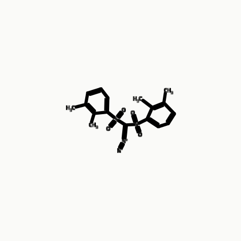 Cc1cccc(S(=O)(=O)C(=[N+]=[N-])S(=O)(=O)c2cccc(C)c2C)c1C